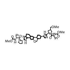 COCC1CC(c2ncc(-c3ccc4c(c3)COc3cc5c(ccc6nc([C@@H]7CC[C@H](C)N7C(=O)[C@@H](NC(=O)OC)C(C)C)[nH]c65)cc3-4)[nH]2)N(C(=O)C(NC(=O)OC)C(C)C)C1